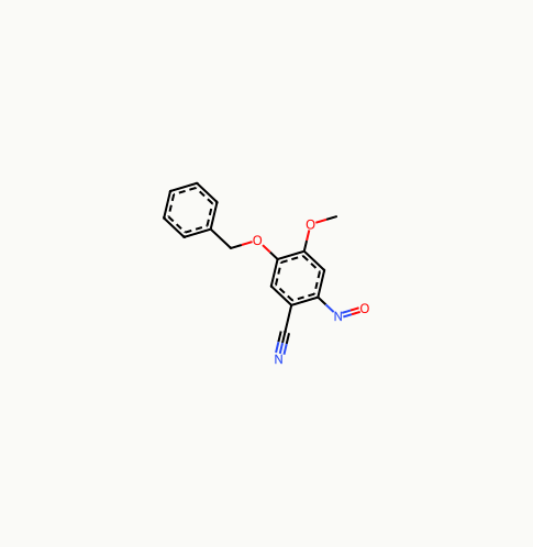 COc1cc(N=O)c(C#N)cc1OCc1ccccc1